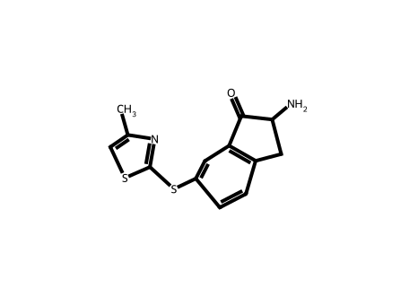 Cc1csc(Sc2ccc3c(c2)C(=O)C(N)C3)n1